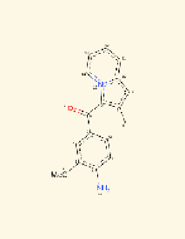 COc1cc(C(=O)c2c(C)cc3ccccn23)ccc1N